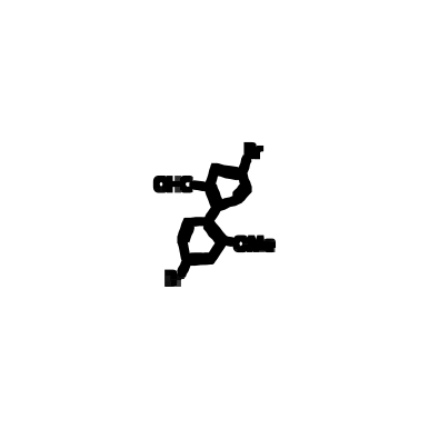 COc1cc(Br)ccc1-c1ccc(Br)cc1C=O